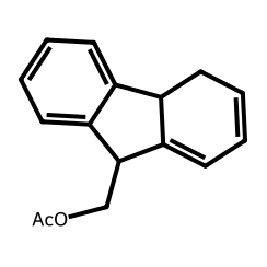 CC(=O)OCC1C2=CC=CCC2c2ccccc21